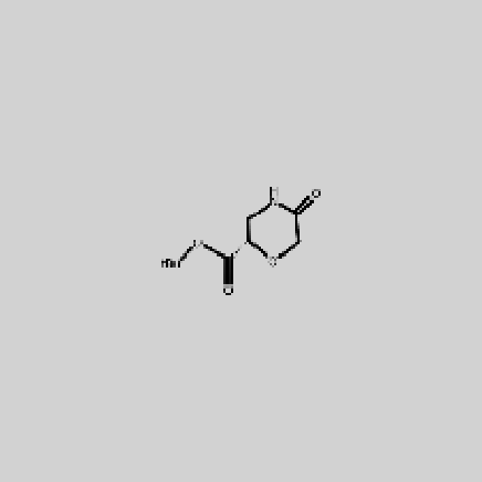 CC(C)(C)OC(=O)[C@@H]1CNC(=O)CO1